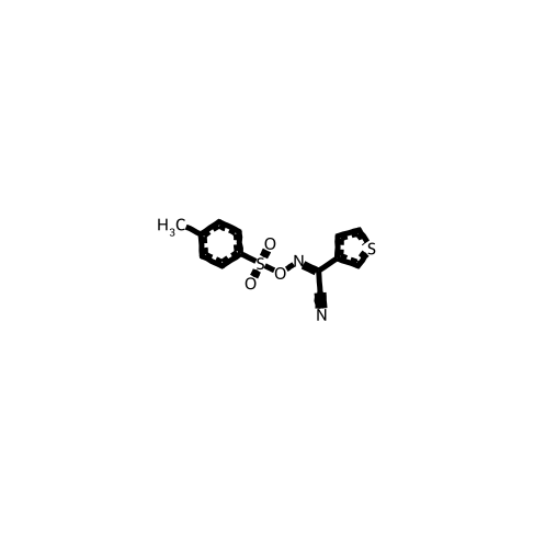 Cc1ccc(S(=O)(=O)ON=C(C#N)c2ccsc2)cc1